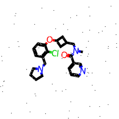 CN(CC1CC(Oc2cccc(CN3CCCC3)c2Cl)C1)C(=O)c1cccnc1